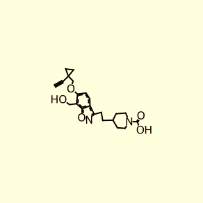 C#CC1(COc2ccc3c(CCC4CCN(C(=O)O)CC4)noc3c2CO)CC1